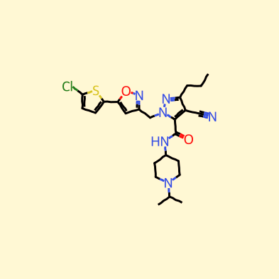 CCCc1nn(Cc2cc(-c3ccc(Cl)s3)on2)c(C(=O)NC2CCN(C(C)C)CC2)c1C#N